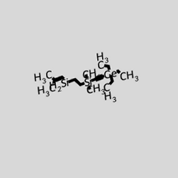 C[CH2][Ge]([C]#C[Si](C)(C)CC[SiH2]C=C(C)C)([CH2]C)[CH2]C